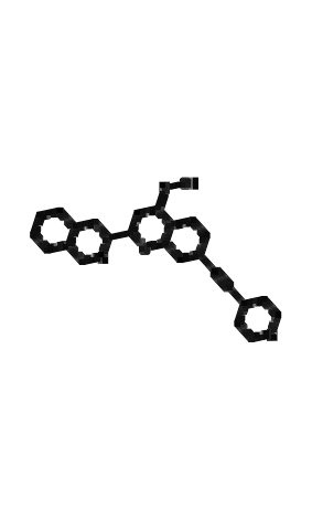 O/N=c1/cc(-c2cc3ccccc3cn2)oc2cc(C#Cc3ccncc3)ccc12